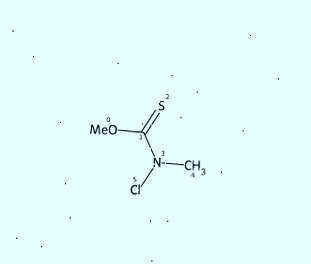 COC(=S)N(C)Cl